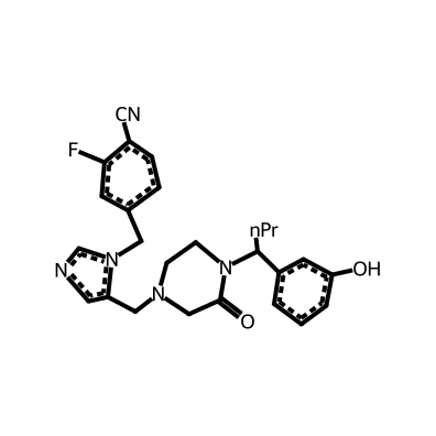 CCCC(c1cccc(O)c1)N1CCN(Cc2cncn2Cc2ccc(C#N)c(F)c2)CC1=O